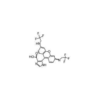 O=C(O)c1nc[nH]c1-c1c2cc/c(=N/CC(F)(F)F)cc-2oc2cc(NCC(F)(F)F)ccc12